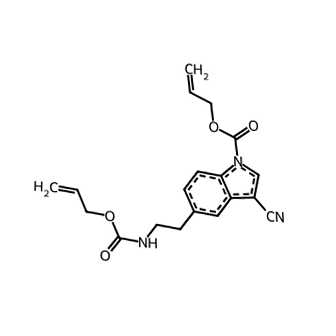 C=CCOC(=O)NCCc1ccc2c(c1)c(C#N)cn2C(=O)OCC=C